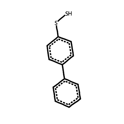 SSc1ccc(-c2ccccc2)cc1